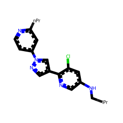 CCCc1cc(-n2cc(-c3ncc(NCC(C)C)cc3Cl)cn2)ccn1